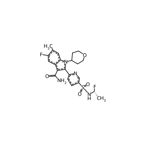 Cc1cc2c(cc1F)c(C(N)=O)c(-c1ccc(S(=O)(=O)N[C@@H](C)F)cn1)n2C1CCOCC1